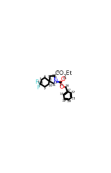 CCOC(=O)[C@@H]1CC2(CCC(F)(F)CC2)CN1C(=O)OCc1ccccc1